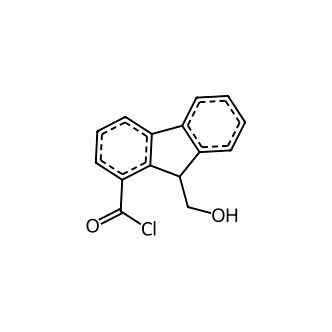 O=C(Cl)c1cccc2c1C(CO)c1ccccc1-2